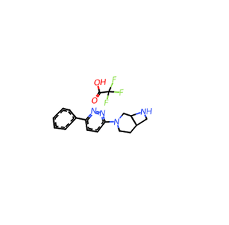 O=C(O)C(F)(F)F.c1ccc(-c2ccc(N3CCC4CNC4C3)nn2)cc1